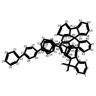 CC1(C)c2ccccc2-c2ccc(N(c3ccc(-c4ccc(-c5ccccc5)cc4)cc3)c3cccc4c3C3(c5ccccc5-c5ccc(C6=CCCC=C6)cc53)c3ccccc3-4)cc21